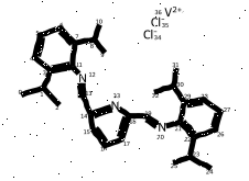 CC(C)c1cccc(C(C)C)c1N=Cc1cccc(C=Nc2c(C(C)C)cccc2C(C)C)n1.[Cl-].[Cl-].[V+2]